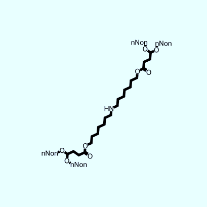 CCCCCCCCCOC(CCC(=O)OCCCCCCCNCCCCCCCOC(=O)CCC(OCCCCCCCCC)OCCCCCCCCC)OCCCCCCCCC